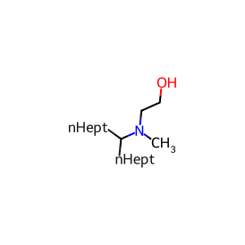 CCCCCCCC(CCCCCCC)N(C)CCO